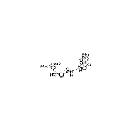 COc1ccc(CCC(O)c2cccc(OCC(=O)NCCCCNc3cccc4c3C(=O)N(C3CCC(=O)NC3=O)C4=O)c2)cc1OC